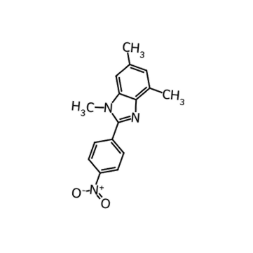 Cc1cc(C)c2nc(-c3ccc([N+](=O)[O-])cc3)n(C)c2c1